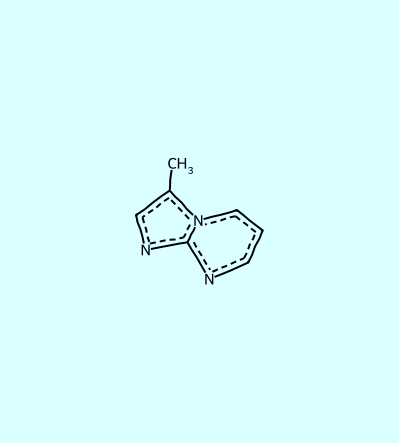 Cc1cnc2ncccn12